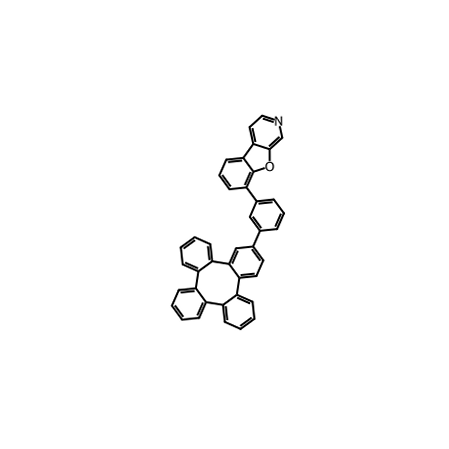 c1cc(-c2ccc3c(c2)-c2ccccc2-c2ccccc2-c2ccccc2-3)cc(-c2cccc3c2oc2cnccc23)c1